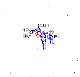 CSCC[C@H](NC(=O)[C@H](CCC(=O)O)NC(=O)[C@H](Cc1c[nH]cn1)NC(=O)[C@H](CC(C)C)NC(=O)[C@@H](N)C(C)C)C(=O)O